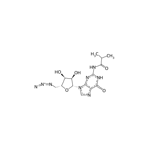 CC(C)C(=O)Nc1nc2c(ncn2[C@@H]2O[C@H](CN=[N+]=[N-])[C@@H](O)[C@H]2O)c(=O)[nH]1